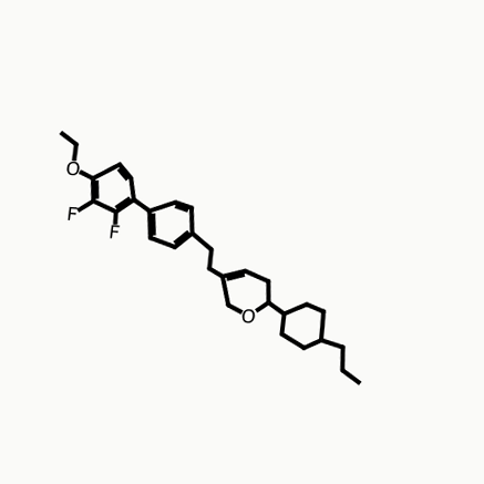 CCCC1CCC(C2CC=C(CCc3ccc(-c4ccc(OCC)c(F)c4F)cc3)CO2)CC1